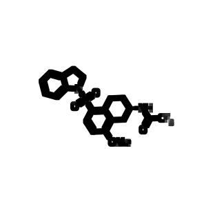 COc1ccc(S(=O)(=O)N2CCc3ccccc32)c2c1C[C@@H](NC(=O)C(F)(F)F)CC2